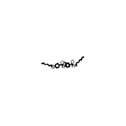 CCCCCCOc1ccc(C(=O)Oc2ccc(C(=O)O[C@@H](C)CCCCCC)cc2C)cc1